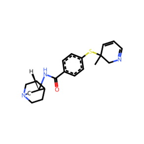 CC1(Sc2ccc(C(=O)N[C@H]3CN4CCC3CC4)cc2)C=CC=NC1